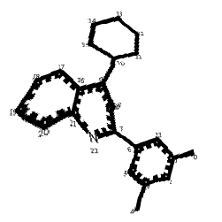 Cc1cc(C)cc(-c2cc(C3CCCCC3)c3ccccc3n2)c1